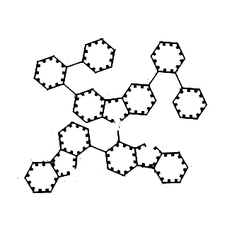 c1ccc(-c2ccccc2-c2ccc3c(c2)c2cc(-c4ccccc4-c4ccccc4)ccc2n3-c2c(-c3cccc4c3oc3ccccc34)ccc3c2oc2ccccc23)cc1